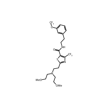 COCCN(CCOC)CCc1nc(C(F)(F)F)c(C(=O)NCCc2cccc(OC(F)(F)F)c2)s1